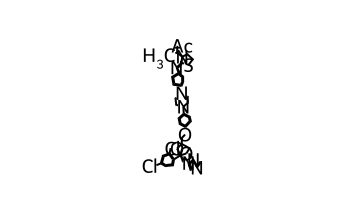 CC(=O)C(C)N1CCSC1=Nc1ccc(N2CCN(c3ccc(OCC4COC(Cn5cncn5)(c5ccc(Cl)cc5Cl)O4)cc3)CC2)cc1